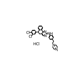 CN1CCN(CCc2ccc(Nc3ncc4c(n3)-c3ccccc3C(c3ccc(Cl)c(Cl)c3)C4)cc2)CC1.Cl